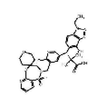 CCn1nnc2c(C)c([C@@H](c3cnc(C)c(CN4CC5(CCOCC5)Oc5ncccc5S4(=O)=O)c3)C(C)(C)C(=O)O)ccc21